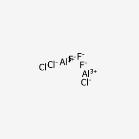 [Al+3].[Al+3].[Cl-].[Cl-].[Cl-].[F-].[F-].[F-]